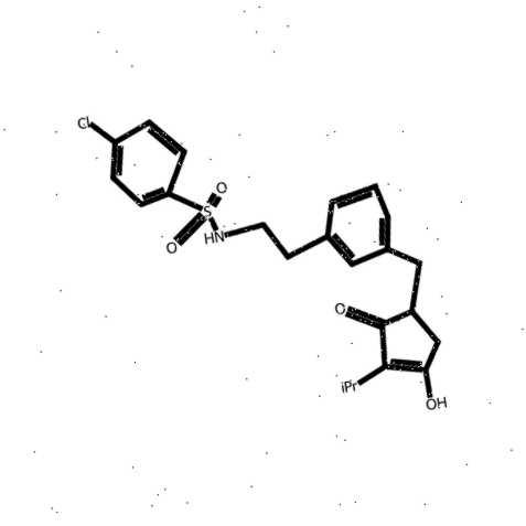 CC(C)C1=C(O)CC(Cc2cccc(CCNS(=O)(=O)c3ccc(Cl)cc3)c2)C1=O